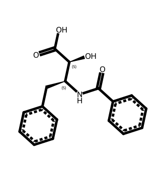 O=C(N[C@@H](Cc1ccccc1)[C@H](O)C(=O)O)c1ccccc1